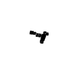 [AlH3].[Mn].[O]=[Co]